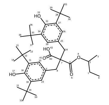 CCC(C)OC(=O)C(Cc1cc(C(C)(C)C)c(O)c(C(C)(C)C)c1)(Cc1cc(C(C)(C)C)c(O)c(C(C)(C)C)c1)C(=O)O